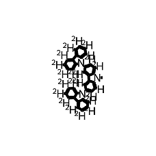 [2H]c1c([2H])c([2H])c2c(c1[2H])c1c([2H])c([2H])c([2H])c([2H])c1n2-c1c([2H])c([2H])c2c(c1[2H])c1c([2H])c(-n3c4c([2H])c([2H])c([2H])c([2H])c4c4c([2H])c([2H])c([2H])c([2H])c43)c([2H])c([2H])c1n2C